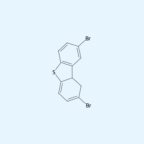 BrC1=CC=C2Sc3ccc(Br)cc3C2C1